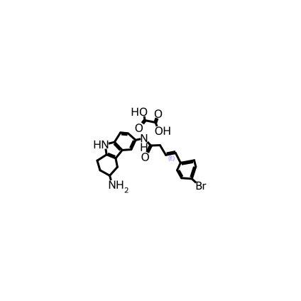 NC1CCc2[nH]c3ccc(NC(=O)C/C=C/c4ccc(Br)cc4)cc3c2C1.O=C(O)C(=O)O